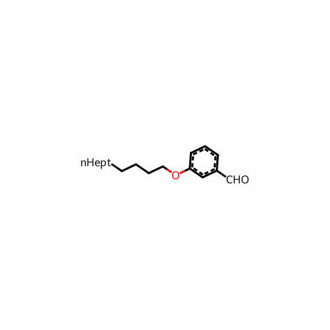 CCCCCCCCCCCOc1cccc(C=O)c1